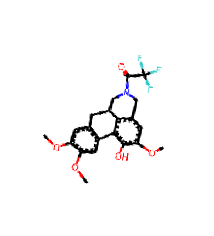 COc1cc2c(cc1OC)-c1c(O)c(OC)cc3c1C(C2)CN(C(=O)C(F)(F)F)C3